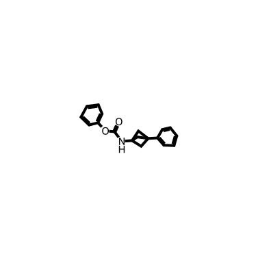 O=C(NC12CC(c3ccccc3)(C1)C2)Oc1ccccc1